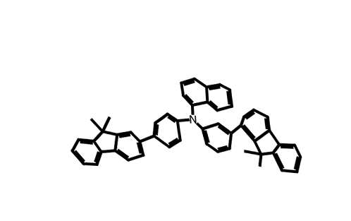 CC1(C)c2ccccc2-c2ccc(-c3ccc(N(c4cccc(-c5cccc6c5C(C)(C)c5ccccc5-6)c4)c4cccc5ccccc45)cc3)cc21